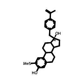 C=C(C)c1ccc(C[C@]2(O)CCC3C4CCc5cc(O)c(SC)cc5C4CCC32)cc1